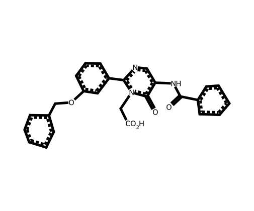 O=C(O)Cn1c(-c2cccc(OCc3ccccc3)c2)ncc(NC(=O)c2ccccc2)c1=O